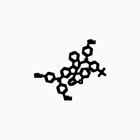 CC(C)(C)c1ccc(N(c2ccc(C(C)(C)C)cc2)c2ccc3c(c2)C2(c4ccccc4Oc4ccccc42)c2cc(N(c4ccc(C(C)(C)C)cc4)c4ccc([Si](C)(C)C)cc4)c4ccccc4c2-3)cc1